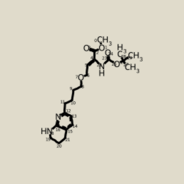 COC(=O)/C(=C/COCCCCc1ccc2c(n1)NCCC2)NC(=O)OC(C)(C)C